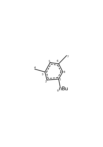 CCCCc1cc(C)cc(C)c1